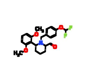 COc1cccc(OC)c1C1CCCC(C=O)N1Cc1ccc(OC(F)F)cc1